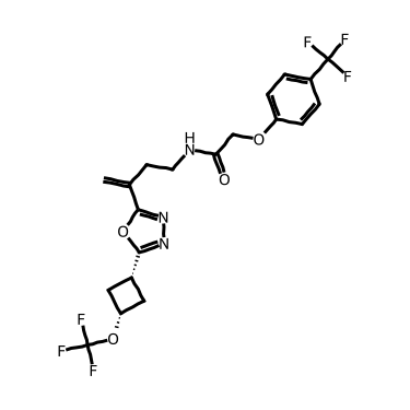 C=C(CCNC(=O)COc1ccc(C(F)(F)F)cc1)c1nnc([C@H]2C[C@@H](OC(F)(F)F)C2)o1